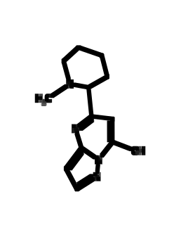 CN1CCCCC1c1cc(O)n2nccc2n1